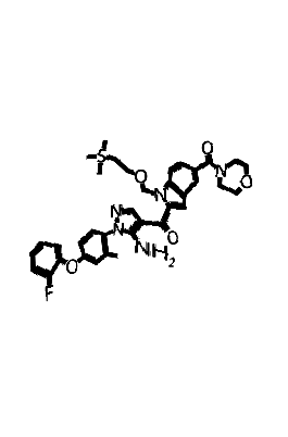 Cc1cc(Oc2ccccc2F)ccc1-n1ncc(C(=O)c2cc3cc(C(=O)N4CCOCC4)ccc3n2COCCS(C)(C)C)c1N